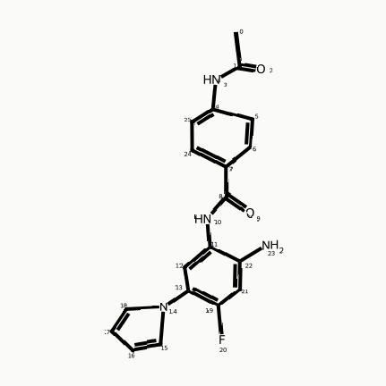 CC(=O)Nc1ccc(C(=O)Nc2cc(-n3cccc3)c(F)cc2N)cc1